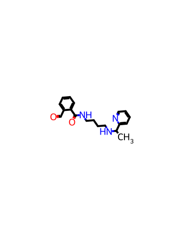 CC(NCCCCNC(=O)c1ccccc1C=O)c1ccccn1